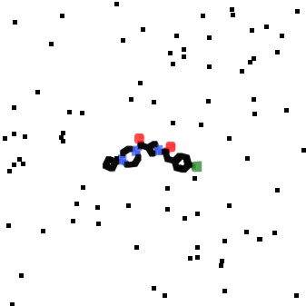 O=C(Cc1ccc(Cl)cc1)N1CC(C(=O)N2CCCN(C3CCC3)CC2)C1